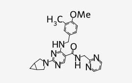 COc1ccc(CNc2nc(N3CC4CC4C3)ncc2C(=O)NCc2ncccn2)cc1C